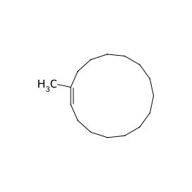 C/C1=C/CCCCCCCCCCCCC1